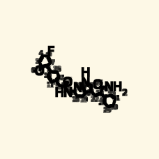 COc1ccc(F)cc1-c1ccc(CC(=O)Nc2ccc3c(C=C(C(N)=O)c4ccccc4)c[nH]c3n2)cc1